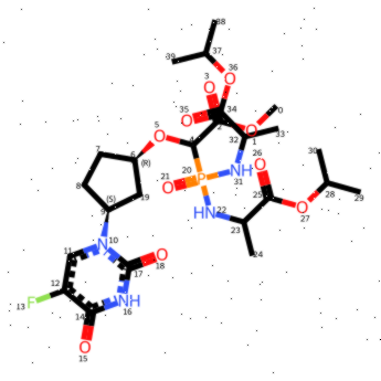 COC(=O)C(O[C@@H]1CC[C@H](n2cc(F)c(=O)[nH]c2=O)C1)P(=O)(NC(C)C(=O)OC(C)C)NC(C)C(=O)OC(C)C